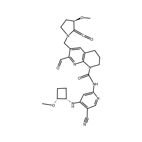 CO[C@@H]1CCN(Cc2cc3c(nc2C=O)N(C(=O)Nc2cc(N[C@H]4CC[C@H]4OC)c(C#N)cn2)CCC3)C1=C=O